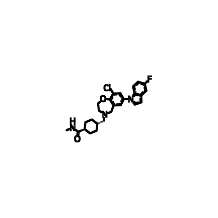 CNC(=O)[C@H]1CC[C@H](CN2CCOc3c(Cl)cc(-n4ccc5cc(F)ccc54)cc3C2)CC1